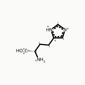 N[C@@H](CCc1cnc[nH]1)C(=O)O